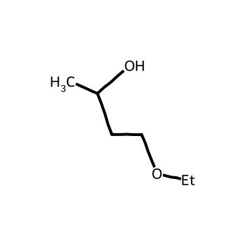 [CH2]COCCC(C)O